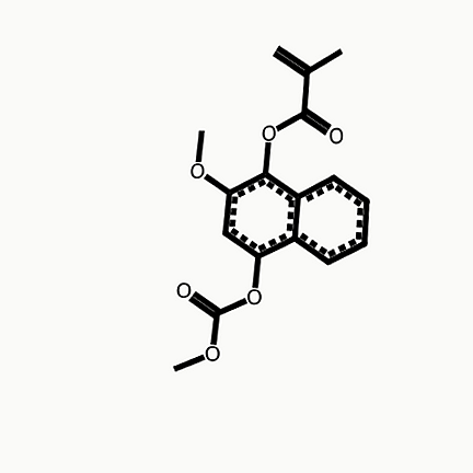 C=C(C)C(=O)Oc1c(OC)cc(OC(=O)OC)c2ccccc12